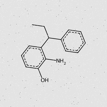 CCC(c1ccccc1)c1cccc(O)c1N